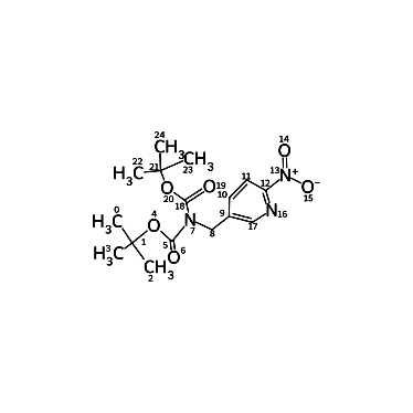 CC(C)(C)OC(=O)N(Cc1ccc([N+](=O)[O-])nc1)C(=O)OC(C)(C)C